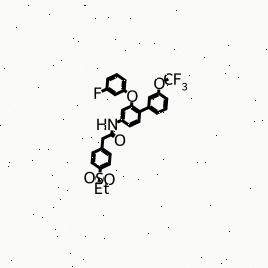 CCS(=O)(=O)c1ccc(CC(=O)Nc2ccc(-c3cccc(OC(F)(F)F)c3)c(Oc3cccc(F)c3)c2)cc1